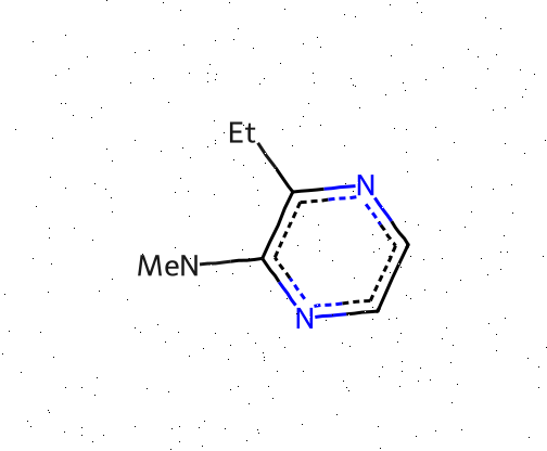 CCc1nccnc1NC